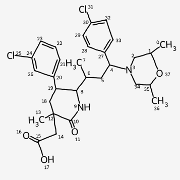 CC1CN(C(CC(C)C2NC(=O)C(C)(CC(=O)O)CC2c2cccc(Cl)c2)c2ccc(Cl)cc2)CC(C)O1